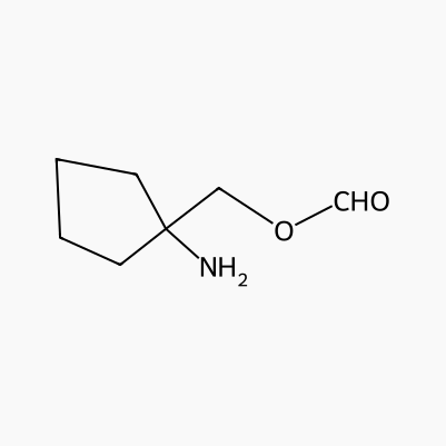 NC1(COC=O)CCCC1